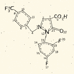 O=C(O)c1cn(Cc2ccc(C(F)(F)F)cc2)n(-c2ccc(F)cc2F)c1=O